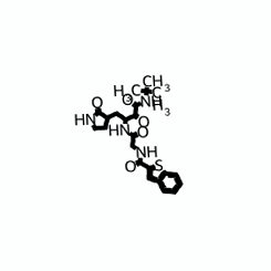 CC(C)(C)NC(=O)C(=O)C(CC1CCNC1=O)NC(=O)CNC(=O)c1cc2ccccc2s1